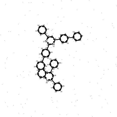 c1ccc(-c2ccc(-c3cc(-c4ccccc4)nc(-c4ccc(-c5ccc6ccc7nc(-c8ccccc8)cc(-c8ccccc8)c7c6c5)cc4)n3)cc2)cc1